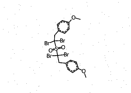 COc1ccc(CC(Br)(Br)S(=O)(=O)C(Br)(Br)Cc2ccc(OC)cc2)cc1